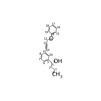 CCC[C@@H](O)c1cccc(C#CCOc2ccccc2)c1